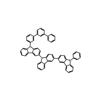 c1ccc(-c2cccc(-c3cccc(-n4c5ccccc5c5cc(-n6c7ccccc7c7cc(-c8ccc9c(c8)c8ccccc8n9-c8ccccc8)ccc76)ccc54)c3)c2)cc1